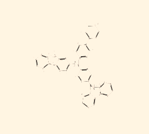 C1=CC(c2ccc(N(c3ccc(-n4c5ccccc5c5ccccc54)cc3)c3ccc4c(c3)sc3ccccc34)cc2)=CCC1